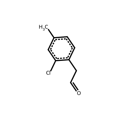 Cc1ccc(CC=O)c(Cl)c1